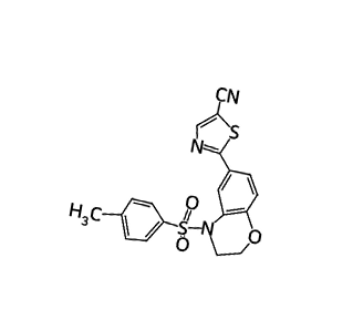 Cc1ccc(S(=O)(=O)N2CCOc3ccc(-c4ncc(C#N)s4)cc32)cc1